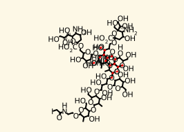 CC1C(OC2C(CO)OC(OCCNC(=O)CI)C(C)C2O)OC(CO)C(OC(O)C(O)C(OC2OC(CO)C(O)C(O)C2OC2OC(CO)C(OC3OC(COC4(C(=O)O)CC(O)C(N)C(CO)([C@H](O)CO)O4)C(O)C(O)C3O)C(O)C2C)C(O)CCOC2OC(CO)C(O)C(O)C2OC2OC(CO)C(OC3OC(COC4(C(=O)O)CC(O)C(N)C([C@H](O)[C@H](O)CO)O4)C(O)C(O)C3O)C(O)C2C)C1O